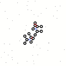 c1ccc(-c2cccc(N(c3cc(-c4ccccc4)cc(-c4ccccc4)c3)c3ccccc3-c3ccc(-c4ccc(-c5cc(-c6ccccc6)cc(N(c6cc(-c7ccccc7)cc(-c7ccccc7)c6)c6ccccc6-c6ccccc6)c5)cc4)cc3)c2)cc1